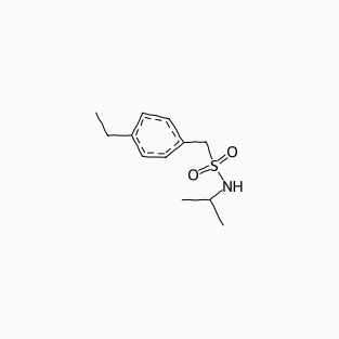 CCc1ccc(CS(=O)(=O)NC(C)C)cc1